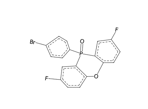 O=P1(c2ccc(Br)cc2)c2cc(F)ccc2Oc2ccc(F)cc21